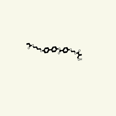 C=CC(=O)OCCCCOc1ccc(-c2ccc(OC(=O)c3ccc(OCCOC(=O)C(=C)CO)cc3)cc2)cc1